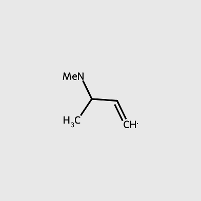 [CH]=CC(C)NC